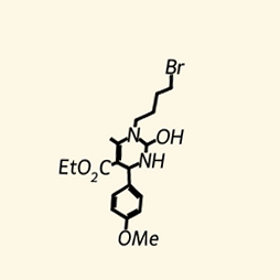 CCOC(=O)C1=C(C)N(CCCCBr)C(O)NC1c1ccc(OC)cc1